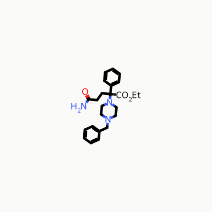 CCOC(=O)C(CCC(N)=O)(c1ccccc1)N1CCN(Cc2ccccc2)CC1